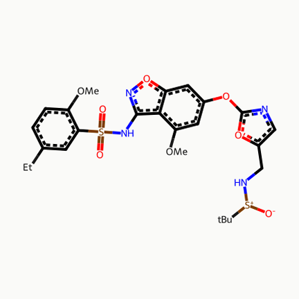 CCc1ccc(OC)c(S(=O)(=O)Nc2noc3cc(Oc4ncc(CN[S+]([O-])C(C)(C)C)o4)cc(OC)c23)c1